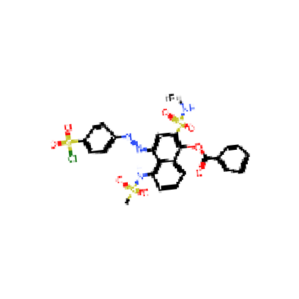 CC(C)(C)NS(=O)(=O)c1cc(N=Nc2ccc(S(=O)(=O)Cl)cc2)c2c(NS(C)(=O)=O)cccc2c1OC(=O)c1ccccc1